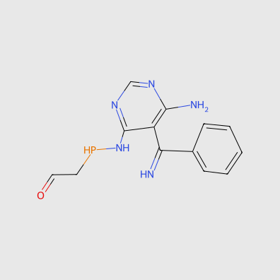 N=C(c1ccccc1)c1c(N)ncnc1NPCC=O